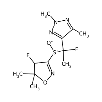 Cc1nn(C)nc1C(C)(F)[S+]([O-])C1=NOC(C)(C)C1F